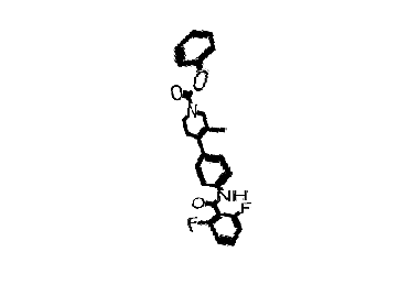 CC1=C(c2ccc(NC(=O)c3c(F)cccc3F)cc2)CCN(C(=O)Oc2ccccc2)C1